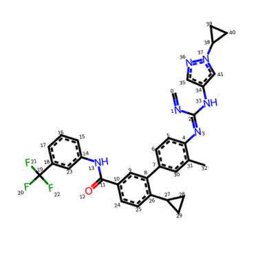 C=N/C(=N\c1ccc(-c2cc(C(=O)Nc3cccc(C(F)(F)F)c3)ccc2C2CC2)cc1C)Nc1cnn(C2CC2)c1